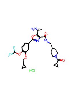 C[C@H](N)c1oc(-c2ccc(OC(F)F)c(OCC3CC3)c2)nc1C(=O)NCC1CCN(C(=O)C2CC2)CC1.Cl